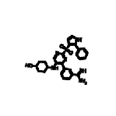 N=C(N)c1cccc(-c2nc(S(=O)(=O)c3cc[nH]c3-c3ccccc3)ncc2NC2CCC(O)CC2)c1